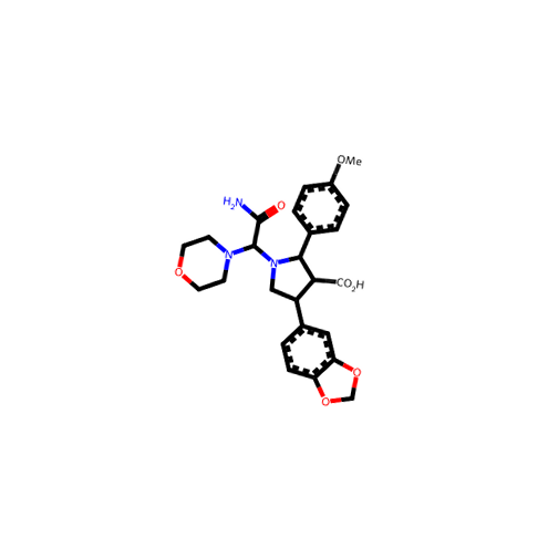 COc1ccc(C2C(C(=O)O)C(c3ccc4c(c3)OCO4)CN2C(C(N)=O)N2CCOCC2)cc1